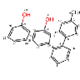 O=Cc1ccc(-c2ccccc2)cc1.Oc1ccccc1.Oc1ccccc1